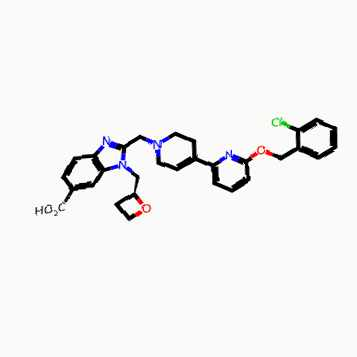 O=C(O)c1ccc2nc(CN3CC=C(c4cccc(OCc5ccccc5Cl)n4)CC3)n(C[C@@H]3CCO3)c2c1